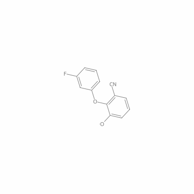 N#Cc1cccc([O])c1Oc1cccc(F)c1